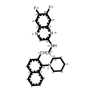 O=Cc1ccc2ccccc2c1N1CCCC[C@H]1CNc1cnc2cc(F)c(F)cc2n1